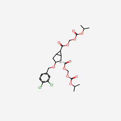 CC(C)OC(=O)OCOC(=O)C1C2CC(OCc3ccc(Cl)c(Cl)c3)[C@@H](C(=O)OCOC(=O)OC(C)C)C21